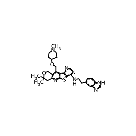 CN1CCC(OCc2c3c(nc4sc5c(NCCc6ccc7[nH]cnc7c6)ncnc5c24)CC(C)(C)OC3)CC1